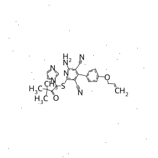 C=CCOc1ccc(-c2c(C#N)c(N)nc(SC(C(=O)C(C)(C)C)n3ccnc3)c2C#N)cc1